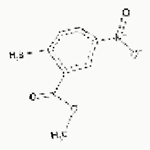 Bc1ccc([N+](=O)[O-])cc1C(=O)OC